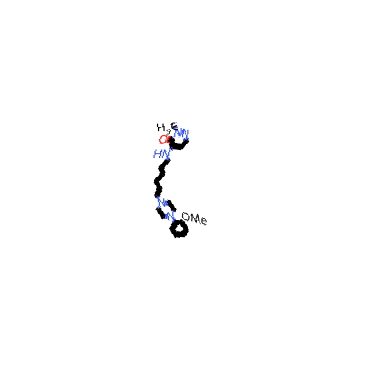 COc1ccccc1N1CCN(CCCCCCNc2ccnn(C)c2=O)CC1